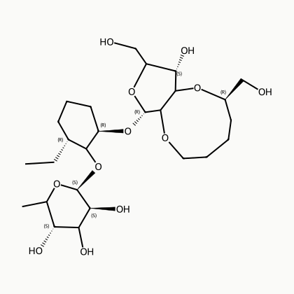 CC[C@@H]1CCC[C@@H](O[C@@H]2OC(CO)[C@H](O)C3O[C@@H](CO)CCCCOC32)C1O[C@@H]1OC(C)[C@@H](O)C(O)[C@@H]1O